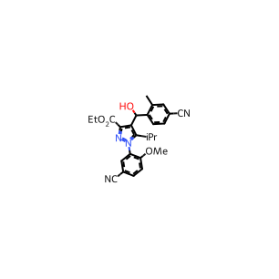 CCOC(=O)c1nn(-c2cc(C#N)ccc2OC)c(C(C)C)c1C(O)c1ccc(C#N)cc1C